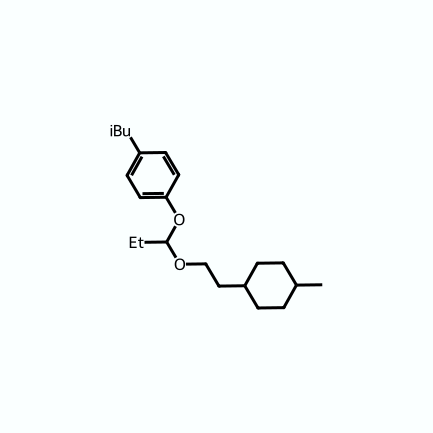 CCC(OCCC1CCC(C)CC1)Oc1ccc(C(C)CC)cc1